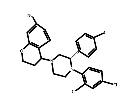 N#Cc1ccc2c(c1)OCCC2N1CCN(c2ccc(Cl)cc2Cl)[C@@H](c2ccc(Cl)cc2)C1